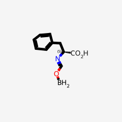 BOC=N[C@@H](Cc1ccccc1)C(=O)O